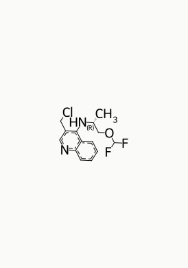 C[C@H](COC(F)F)Nc1c(CCl)cnc2ccccc12